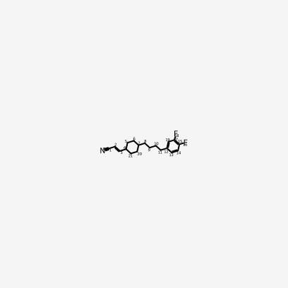 N#CC=CC1CCC(CCCCc2ccc(F)c(F)c2)CC1